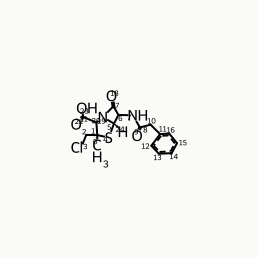 CC1(CCl)S[C@H]2C(NC(=O)Cc3ccccc3)C(=O)N2C1C(=O)O